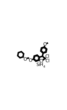 COc1ccc(C(c2ccc(OCOC3CCCCC3)cc2)C(Cl)(Cl)Cl)cc1.[SiH4]